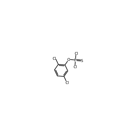 S=P(Cl)(Cl)Oc1cc(Cl)ccc1Cl